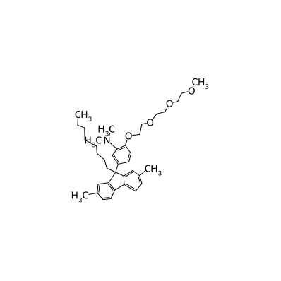 CCCCCCCCC1(c2ccc(OCCOCCOCCOC)c(N(C)C)c2)c2cc(C)ccc2-c2ccc(C)cc21